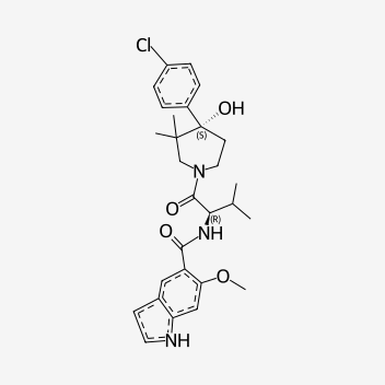 COc1cc2[nH]ccc2cc1C(=O)N[C@@H](C(=O)N1CC[C@](O)(c2ccc(Cl)cc2)C(C)(C)C1)C(C)C